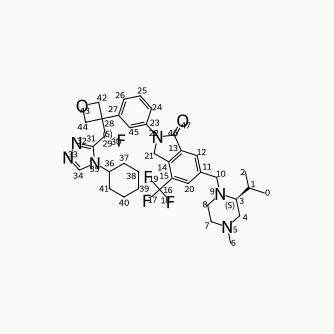 CC(C)[C@H]1CN(C)CCN1Cc1cc2c(c(C(F)(F)F)c1)CN(c1cccc(C3([C@H](F)c4nncn4C4CCCCC4)COC3)c1)C2=O